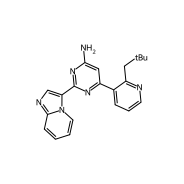 CC(C)(C)Cc1ncccc1-c1cc(N)nc(-c2cnc3ccccn23)n1